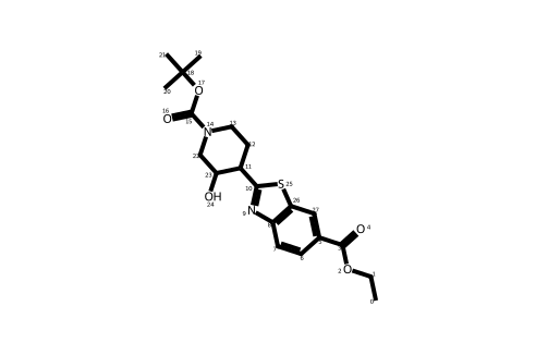 CCOC(=O)c1ccc2nc(C3CCN(C(=O)OC(C)(C)C)CC3O)sc2c1